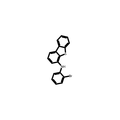 Brc1ccccc1Nc1cccc2c1sc1ccccc12